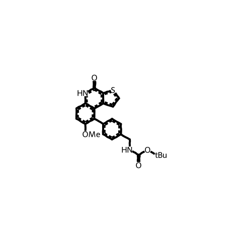 COc1ccc2[nH]c(=O)c3sccc3c2c1-c1ccc(CNC(=O)OC(C)(C)C)cc1